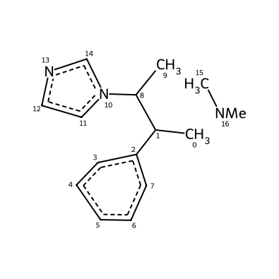 CC(c1ccccc1)C(C)n1ccnc1.CNC